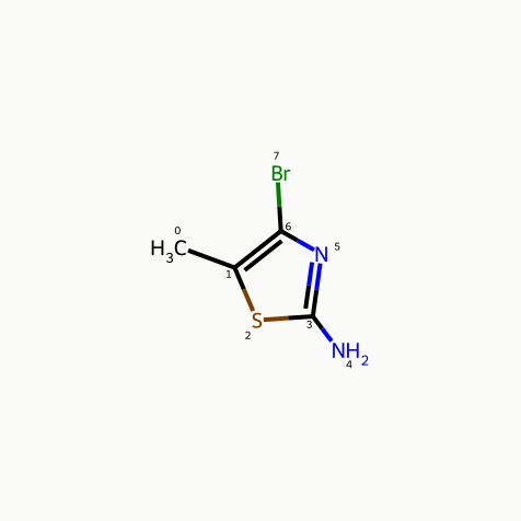 Cc1sc(N)nc1Br